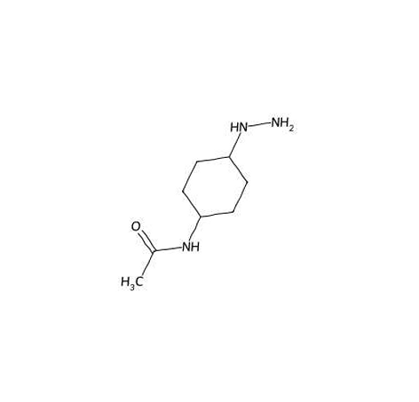 CC(=O)NC1CCC(NN)CC1